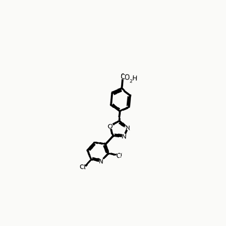 O=C(O)c1ccc(-c2nnc(-c3ccc(Cl)nc3Cl)o2)cc1